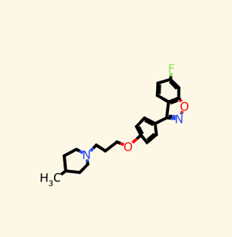 CC1CCN(CCCOc2ccc(-c3noc4cc(F)ccc34)cc2)CC1